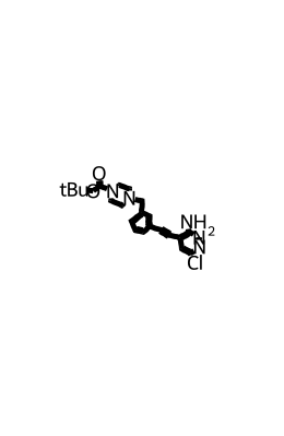 CC(C)(C)OC(=O)N1CCN(Cc2cccc(C#Cc3cc(Cl)nnc3N)c2)CC1